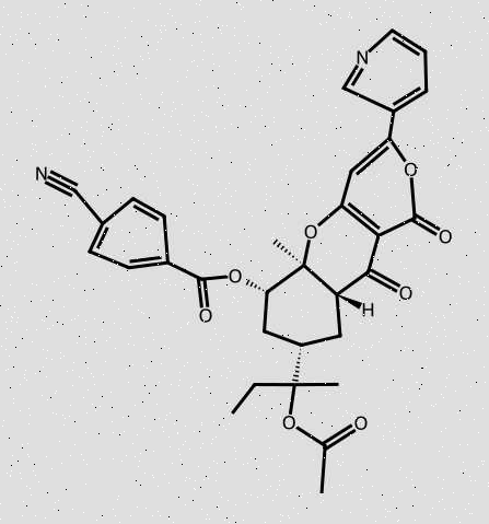 CCC(C)(OC(C)=O)[C@@H]1C[C@H](OC(=O)c2ccc(C#N)cc2)[C@@]2(C)Oc3cc(-c4cccnc4)oc(=O)c3C(=O)[C@@H]2C1